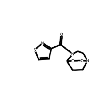 O=C(c1ccsn1)N1CCN2CCC1CC2